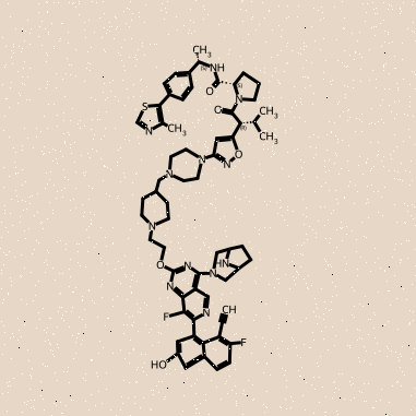 C#Cc1c(F)ccc2cc(O)cc(-c3ncc4c(N5CC6CCC(C5)N6)nc(OCCN5CCC(CN6CCN(c7cc([C@H](C(=O)N8CCC[C@H]8C(=O)N[C@@H](C)c8ccc(-c9scnc9C)cc8)C(C)C)on7)CC6)CC5)nc4c3F)c12